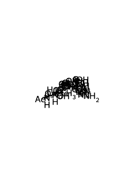 CC(=O)CNC(=O)CCNC(=O)[C@H](O)C(C)(C)COP(=O)(O)OP(=O)(O)OCC1OC(n2cnc3c(N)ncnc32)C(O)C1OP(=O)(O)O